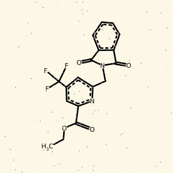 CCOC(=O)c1cc(C(F)(F)F)cc(CN2C(=O)c3ccccc3C2=O)n1